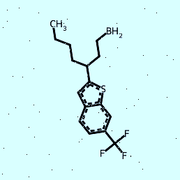 BCCC(CCCC)c1cc2ccc(C(F)(F)F)cc2s1